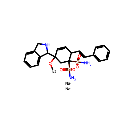 CCOC1(C2NCc3ccccc32)C=CC(C=Cc2ccccc2)C(S(N)(=O)=O)(S(N)(=O)=O)C1.[Na].[Na]